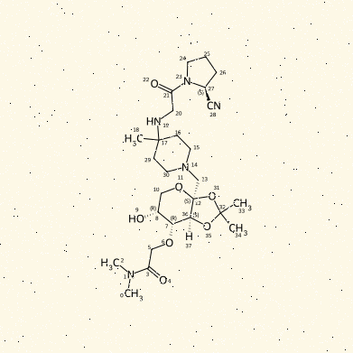 CN(C)C(=O)CO[C@@H]1[C@H](O)CO[C@@]2(CN3CCC(C)(NCC(=O)N4CCC[C@H]4C#N)CC3)OC(C)(C)O[C@@H]12